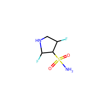 NS(=O)(=O)C1C(F)CNC1F